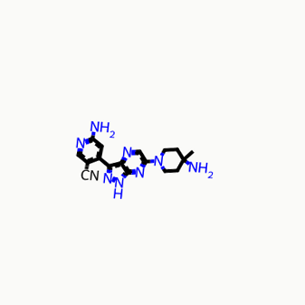 CC1(N)CCN(c2cnc3c(-c4cc(N)ncc4C#N)n[nH]c3n2)CC1